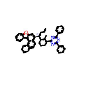 C=C/C=C(\c1cccc(-c2nc(-c3ccccc3)nc(-c3ccccc3)n2)c1C)c1cc2oc3ccccc3c2c2c1ccc1ccccc12